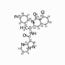 C[C@H](NC(=O)c1cnn2cccnc12)c1cc2cccc(Cl)c2c(=O)n1-c1ccc(F)cc1